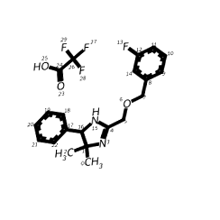 CC1(C)N=C(COCc2cccc(F)c2)NC1c1ccccc1.O=C(O)C(F)(F)F